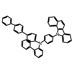 c1ccc(-c2ccc(-c3ccc(N(c4ccc(-n5c6ccccc6c6ccc7ccccc7c65)cc4)c4ccccc4-c4ccccc4)cc3)cc2)cc1